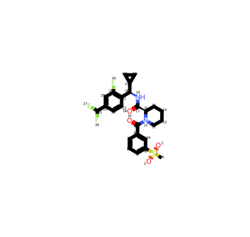 CS(=O)(=O)c1cccc(C(=O)N2CCCC[C@@H]2C(=O)N[C@@H](c2ccc(C(F)F)cc2F)C2CC2)c1